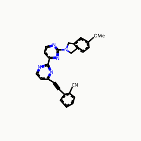 COc1ccc2c(c1)CN(c1nccc(-c3nccc(C#Cc4ccccc4C#N)n3)n1)C2